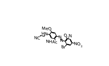 COc1cc(N=Nc2c(Br)cc([N+](=O)[O-])cc2[N+](=O)[O-])c(NC(C)=O)cc1NCCC#N